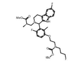 COC(=O)[C@H](C)CN1CCc2c([nH]c3ccc(F)cc23)C1c1c(F)ccc(OCCN(CCCF)C(=O)OC(C)(C)C)c1C